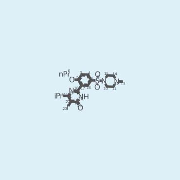 CCCOc1ccc(S(=O)(=O)N2CCN(C)CC2)cc1-c1nc(C(C)C)c(I)c(=O)[nH]1